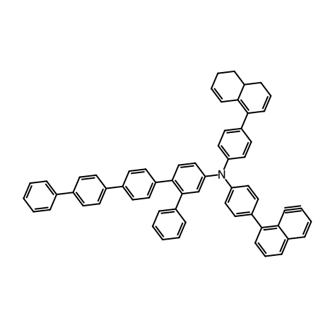 c1ccc2cccc(-c3ccc(N(c4ccc(C5=C6C=CCCC6CC=C5)cc4)c4ccc(-c5ccc(-c6ccc(-c7ccccc7)cc6)cc5)c(-c5ccccc5)c4)cc3)c2c#1